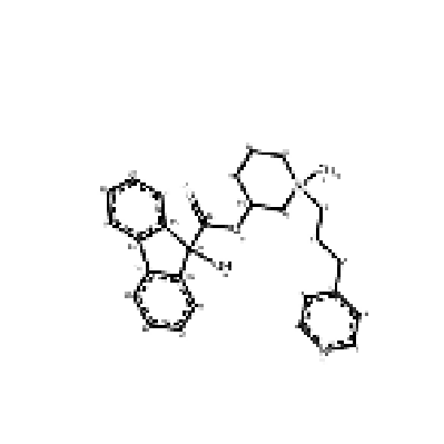 C[N+]1(CCCc2ccncc2)CCCC(OC(=O)C2(O)c3ccccc3-c3ccccc32)C1